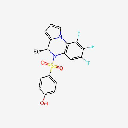 CC[C@H]1c2cccn2-c2c(cc(F)c(F)c2F)N1S(=O)(=O)c1ccc(O)cc1